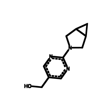 OCc1cnc(N2CC3CC3C2)nc1